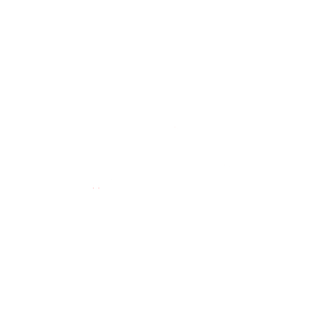 COc1ccc(/C=C2\Cc3ccc(OC)cc3C2=O)cc1